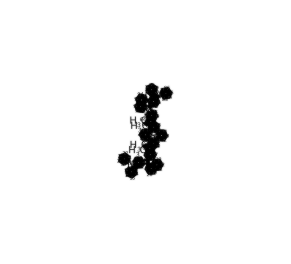 CC1(C)c2cc(N(c3ccc4c(c3)c3ccccc3n4-c3ccccc3)c3cccc4ccccc34)ccc2-c2ccc([Si](c3ccccc3)(c3ccccc3)c3ccc4c(c3)C(C)(C)c3cc(N(c5ccc6c(c5)c5ccccc5n6-c5ccccc5)c5cccc6ccccc56)ccc3-4)cc21